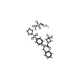 C=CS(=O)(=O)NC[C@H]1CCCN1S(=O)(=O)c1ccc(C(Cc2ccccc2)C(=O)N2CC(F)(F)C2)cc1